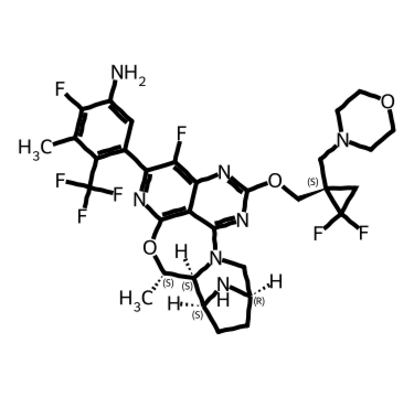 Cc1c(F)c(N)cc(-c2nc3c4c(nc(OC[C@@]5(CN6CCOCC6)CC5(F)F)nc4c2F)N2C[C@H]4CC[C@H](N4)[C@H]2[C@H](C)O3)c1C(F)(F)F